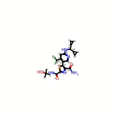 CC(C)(O)CNC(=O)c1nc(C(N)=O)c(-c2cnc(NC(C3CC3)C3CC3)cc2C(F)F)s1